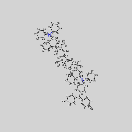 Cc1ccc(C(c2ccc(C)cc2)c2ccc(N(c3ccccc3)c3cc4c(c5ccccc35)-c3cc5c(cc3C4(C)C)-c3cc4c(cc3C5(C)C)-c3c(cc(N(c5ccccc5)c5ccccc5)c5ccccc35)C4(C)C)cc2)cc1